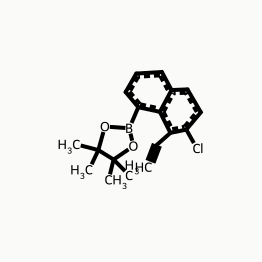 C#Cc1c(Cl)ccc2cccc(B3OC(C)(C)C(C)(C)O3)c12